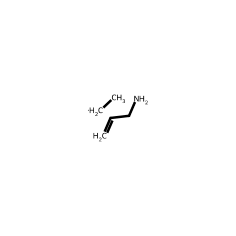 C=CCN.[CH2]C